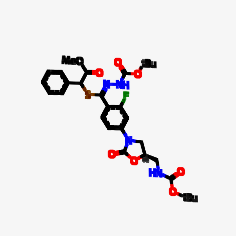 COC(=O)C(SC(=NNC(=O)OC(C)(C)C)c1ccc(N2C[C@@H](CNC(=O)OC(C)(C)C)OC2=O)cc1F)c1ccccc1